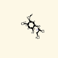 COc1cc(/N=C(/Cl)CCl)c(F)cc1Cl